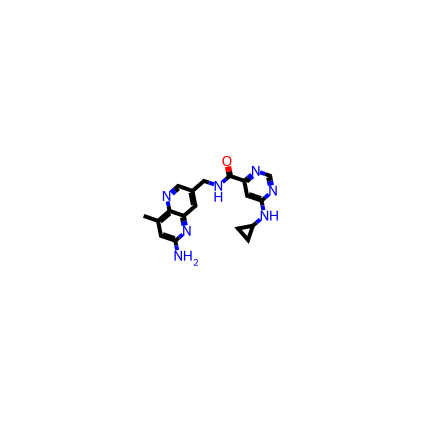 Cc1cc(N)nc2cc(CNC(=O)c3cc(NC4CC4)ncn3)cnc12